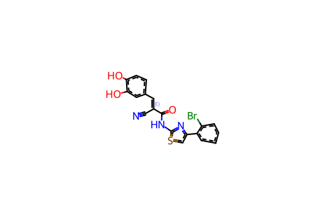 N#C/C(=C\c1ccc(O)c(O)c1)C(=O)Nc1nc(-c2ccccc2Br)cs1